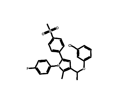 Cc1c(C(C)Oc2cccc(Cl)c2)cc(-c2ccc(S(C)(=O)=O)cc2)n1-c1ccc(F)cc1